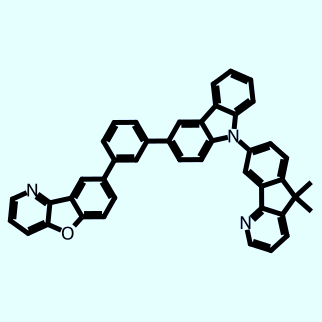 CC1(C)c2ccc(-n3c4ccccc4c4cc(-c5cccc(-c6ccc7oc8cccnc8c7c6)c5)ccc43)cc2-c2ncccc21